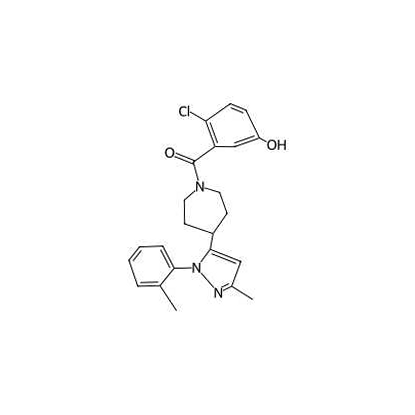 Cc1cc(C2CCN(C(=O)c3cc(O)ccc3Cl)CC2)n(-c2ccccc2C)n1